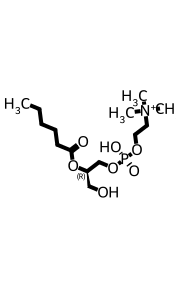 CCCCCC(=O)O[C@H](CO)COP(=O)(O)OCC[N+](C)(C)C